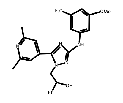 CCC(O)Cn1nc(Nc2cc(OC)cc(C(F)(F)F)c2)nc1-c1cc(C)nc(C)c1